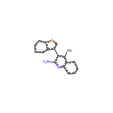 CCCCc1c(-c2csc3ccccc23)c(N)nc2ccccc12